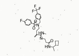 C=C(CCN(Cc1ccc(C(F)(F)F)cc1)S(=O)(=O)c1ccc(F)cc1)/C(=N/CCC(=O)NC(C)C1CCC1)NC